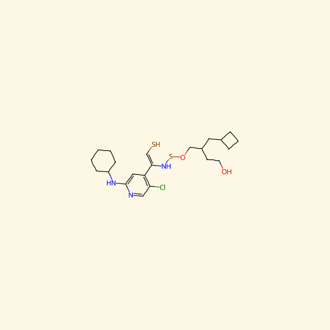 OCCC(COSN/C(=C\S)c1cc(NC2CCCCC2)ncc1Cl)CC1CCC1